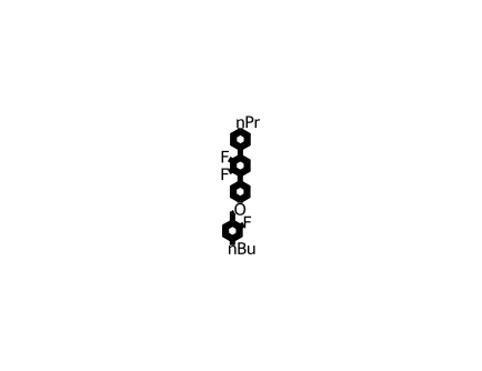 CCCCc1ccc(COc2ccc(-c3ccc(-c4ccc(CCC)cc4)c(F)c3F)cc2)c(F)c1